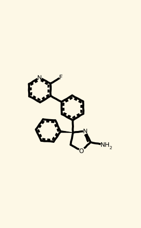 NC1=N[C@@](c2ccccc2)(c2cccc(-c3cccnc3F)c2)CO1